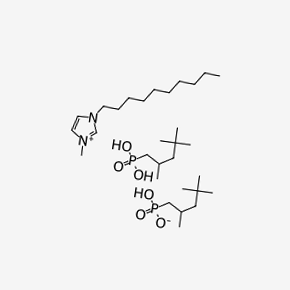 CC(CC(C)(C)C)CP(=O)(O)O.CC(CC(C)(C)C)CP(=O)([O-])O.CCCCCCCCCCn1cc[n+](C)c1